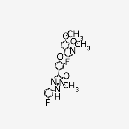 COc1ccc2c(Oc3ccc(-c4cnc(Nc5cccc(F)c5)n(C)c4=O)cc3F)ccnc2c1OC